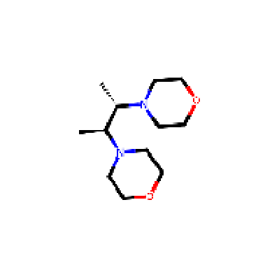 C[C@@H]([C@H](C)N1CCOCC1)N1CCOCC1